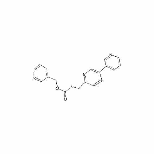 O=C(OCc1ccccc1)SCc1ccc(-c2cccnc2)cn1